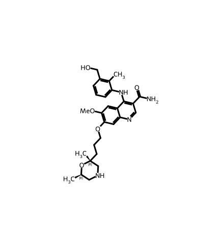 COc1cc2c(Nc3cccc(CO)c3C)c(C(N)=O)cnc2cc1OCCC[C@]1(C)CNC[C@@H](C)O1